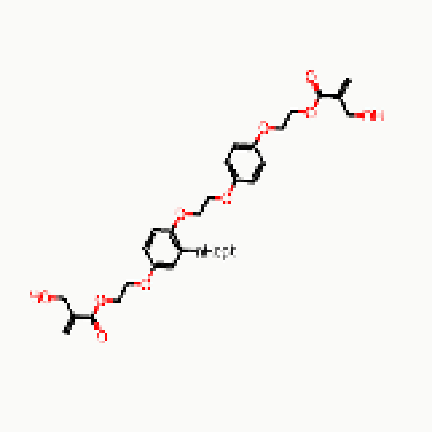 C=C(CO)C(=O)OCCOc1ccc(OCCOc2ccc(OCCOC(=O)C(=C)CO)cc2CCCCCCC)cc1